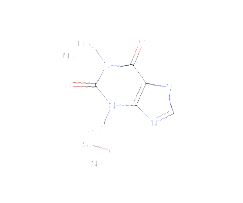 CC(=O)[O-].Cn1c(=O)c2[n-]cnc2n(C)c1=O.[Na+].[Na+]